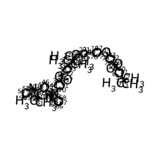 CC(C)(C)c1ccc(S(=O)(=O)c2ccc(Oc3ccc(-c4ccc(OC(C)(C)C(C)(C)c5ccc(S(=O)(=O)c6ccc(-n7c(-c8cccc(-c9nc%10ccccc%10n9C(C)(C)C)c8)nc8ccccc87)cc6)cc5)cc4)cc3)cc2)cc1